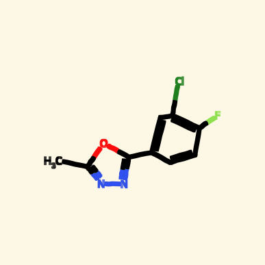 Cc1nnc(-c2ccc(F)c(Cl)c2)o1